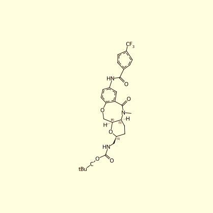 CN1C(=O)c2cc(NC(=O)c3ccc(C(F)(F)F)cc3)ccc2OC[C@@H]2O[C@H](CNC(=O)OCC(C)(C)C)CC[C@@H]21